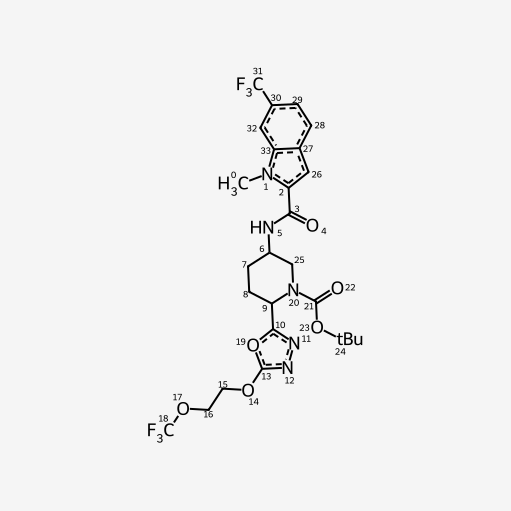 Cn1c(C(=O)NC2CCC(c3nnc(OCCOC(F)(F)F)o3)N(C(=O)OC(C)(C)C)C2)cc2ccc(C(F)(F)F)cc21